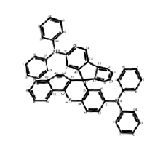 c1ccc(N(c2ccccc2)c2ccc3c(c2)C2(c4ccccc4-c4ccc(N(c5ccccc5)c5ccccc5)cc42)c2ccc4ccccc4c2S3)cc1